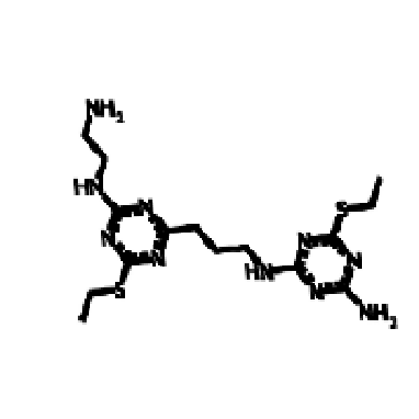 CCSc1nc(N)nc(NCCCc2nc(NCCN)nc(SCC)n2)n1